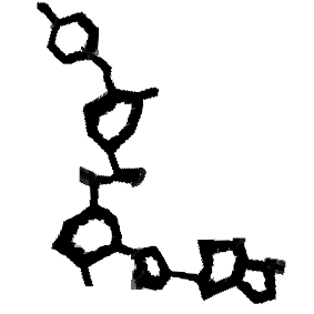 Cc1cc(C(=O)Nc2ccc(C)c(-n3cc(-c4cnc5[nH]ccc5c4)cn3)c2)ccc1CN1CCN(C)CC1